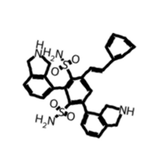 NS(=O)(=O)c1c(C=Cc2ccccc2)cc(-c2cccc3c2CNC3)c(S(N)(=O)=O)c1-c1cccc2c1CNC2